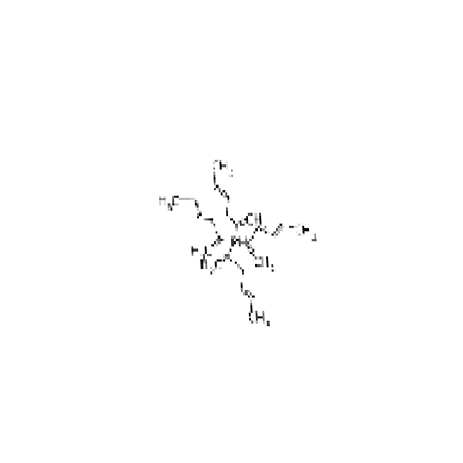 C=C(CC=CC)[PH](C(=C)CC=CC)(C(=C)CC=CC)C(=C)CC=CC